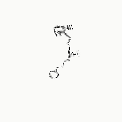 NC(=NCCCc1ccccc1)SCCCc1ncc[nH]1